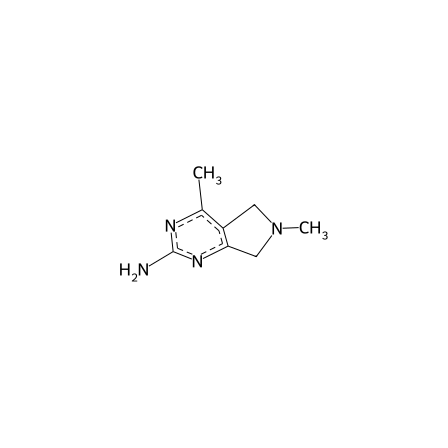 Cc1nc(N)nc2c1CN(C)C2